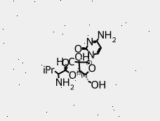 CC(C)C(N)C(=O)O[C@H]1[C@@H](CO)O[C@@H](n2ccc(N)nc2=O)C1(C)O